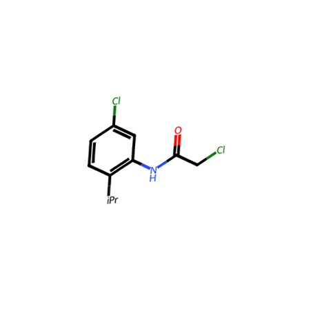 CC(C)c1ccc(Cl)cc1NC(=O)CCl